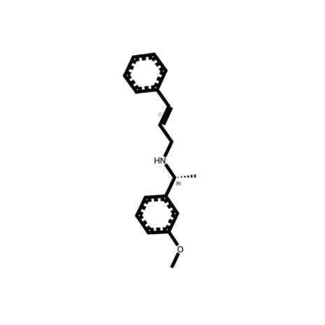 COc1cccc([C@@H](C)NC/C=C/c2ccccc2)c1